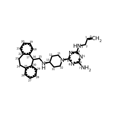 C=CCNc1nc(N)nc(N2CCC(NCC3c4ccccc4CCc4ccccc43)CC2)n1